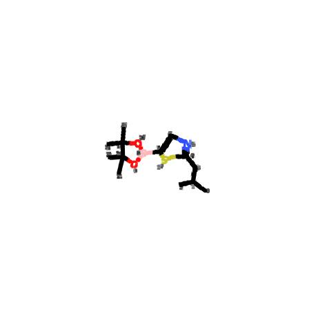 CC(C)Cc1ncc(B2OC(C)(C)C(C)(C)O2)s1